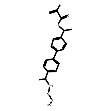 C=C(C)C(=O)OC(C)c1ccc(-c2ccc(C(C)POSS)cc2)cc1